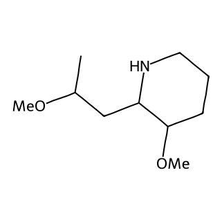 COC(C)CC1NCCCC1OC